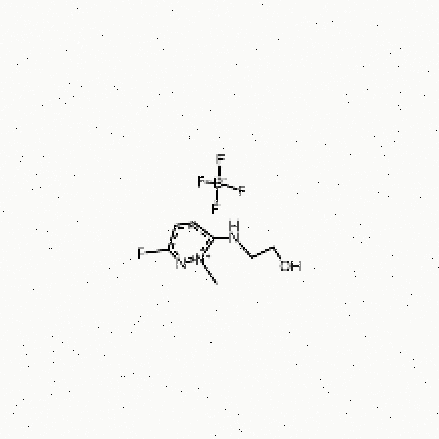 C[n+]1nc(F)ccc1NCCO.F[B-](F)(F)F